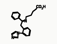 O=C(O)CCCCN=C(Cc1ccccc1-n1ccnc1)c1ccccc1